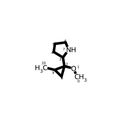 COC1(C2CCCN2)CC1C